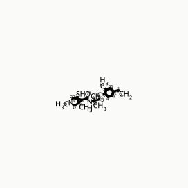 C=Cc1ccc(OCC(C)(C)NC(=O)C2C3(C)CN(C)CC23S)c(C)c1